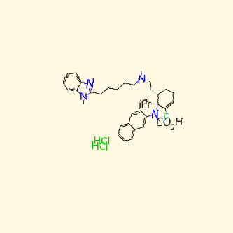 CC(C)[C@@]1(N(C(=O)O)c2ccc3ccccc3c2)C(F)=CCC[C@H]1CCN(C)CCCCCc1nc2ccccc2n1C.Cl.Cl